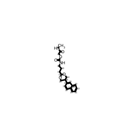 CNC(=O)COC(=O)NCCCC1OCC(c2ccc3ccccc3c2)CO1